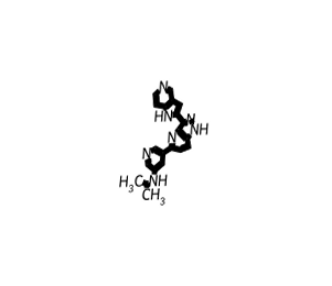 CC(C)Nc1cncc(-c2ccc3[nH]nc(-c4cc5cnccc5[nH]4)c3n2)c1